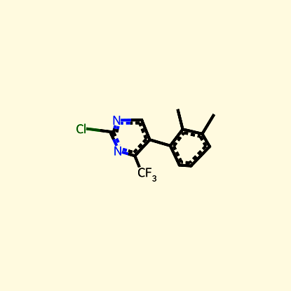 Cc1cccc(-c2cnc(Cl)nc2C(F)(F)F)c1C